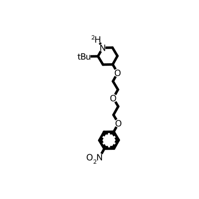 [2H]N1CCC(OCCOCCOc2ccc([N+](=O)[O-])cc2)CC1C(C)(C)C